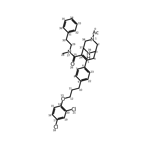 CC(=O)N1CC2CC(c3ccc(CCCOc4ccc(Cl)cc4Cl)cc3)=C(C(=O)N(C)CCc3ccccc3)C(C1)N2